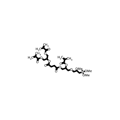 C=C(C)C(=O)OCC(COC(=O)C(=C)C)OC(=O)CCC(=O)OCC(COCCC[Si](OC)(OC)OC)OC(=O)C(=C)C